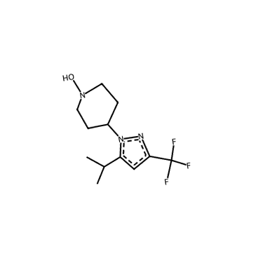 CC(C)c1cc(C(F)(F)F)nn1C1CCN(O)CC1